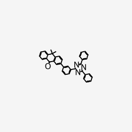 CC1(C)c2ccccc2C(=O)c2cc(-c3cccc(-c4nc(-c5ccccc5)nc(-c5ccccc5)n4)c3)ccc21